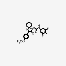 O=C(CN1C(=O)C(c2ccc(OC(F)(F)F)cc2)=NC12CCCCC2)NC1C=C(F)C(F)=C(F)C1